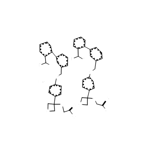 O=C([O-])COC1(c2ccc(OCc3cccc(-c4ccccc4C(F)F)c3)cc2)COC1.O=C([O-])COC1(c2ccc(OCc3cccc(-c4ccccc4C(F)F)c3)cc2)COC1.[Ca+2]